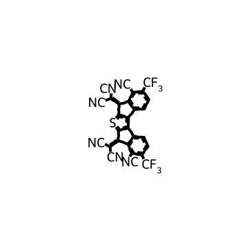 N#CC(C#N)=C1c2sc3c(c2-c2ccc(C(F)(F)F)c(C#N)c21)-c1ccc(C(F)(F)F)c(C#N)c1C3=C(C#N)C#N